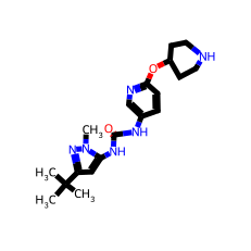 Cn1nc(C(C)(C)C)cc1NC(=O)Nc1ccc(OC2CCNCC2)nc1